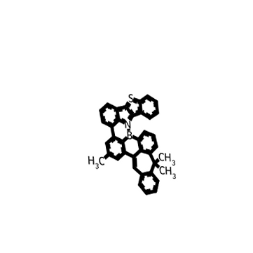 Cc1cc2c3c(c1)-c1cccc4c5sc6ccccc6c5n(c14)B3c1cccc3c1C2=Cc1ccccc1C3(C)C